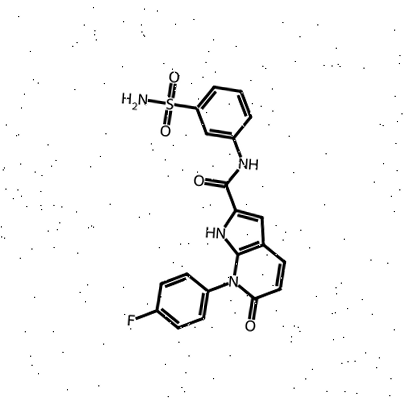 NS(=O)(=O)c1cccc(NC(=O)c2cc3ccc(=O)n(-c4ccc(F)cc4)c3[nH]2)c1